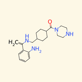 C=C(NCC1CCC(C(=O)N2CCNCC2)CC1)c1ccccc1N